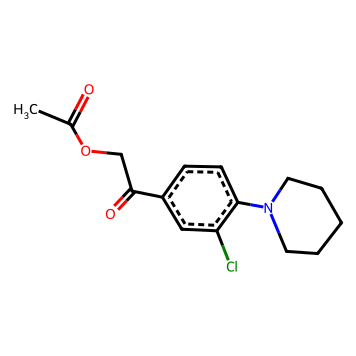 CC(=O)OCC(=O)c1ccc(N2CCCCC2)c(Cl)c1